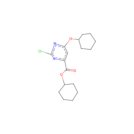 O=C(OC1CCCCC1)c1cc(OC2CCCCC2)nc(Cl)n1